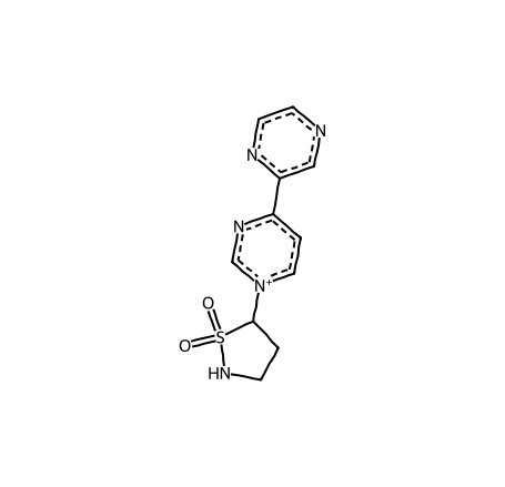 O=S1(=O)NCCC1[n+]1ccc(-c2cnccn2)nc1